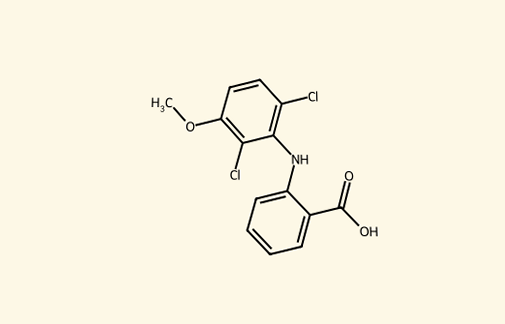 COc1ccc(Cl)c(Nc2ccccc2C(=O)O)c1Cl